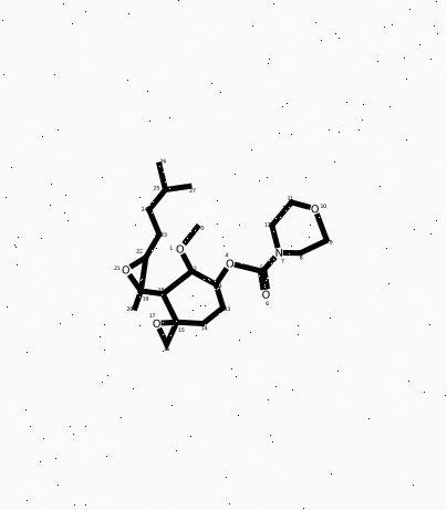 COC1C(OC(=O)N2CCOCC2)CCC2(CO2)C1C1(C)OC1CCC(C)C